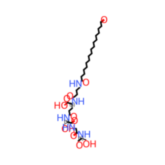 O=CCCCCCCCCCCCCCCCCC(=O)NCCCC(=O)N[C@@H](CCC(=O)N[C@@H](CO)C(=O)NCC(=O)N[C@H](C=O)CO)C(=O)O